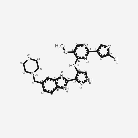 COc1cnc(-c2csc(Cl)c2)nc1Nc1c[nH]nc1-c1nc2cc(CN3CCOCC3)ccc2[nH]1